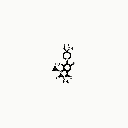 Cc1c(N2CCC(O)(CO)CC2)c(F)cc2c(=O)n(N)c(=O)n(C3CC3)c12